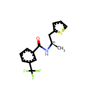 C[C@H](Cc1cccs1)NC(=O)c1cccc(C(F)(F)F)c1